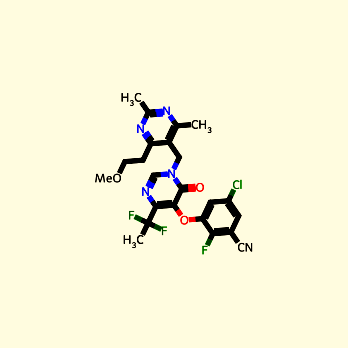 COCCc1nc(C)nc(C)c1Cn1cnc(C(C)(F)F)c(Oc2cc(Cl)cc(C#N)c2F)c1=O